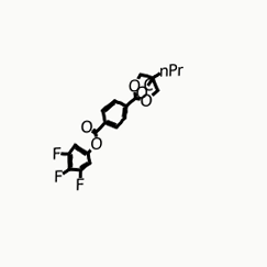 CCCC12COC(c3ccc(C(=O)Oc4cc(F)c(F)c(F)c4)cc3)(OC1)OC2